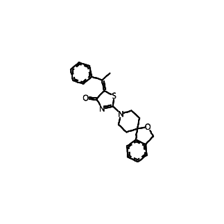 C/C(=C1\SC(N2CCC3(CC2)OCc2ccccc23)=NC1=O)c1ccccc1